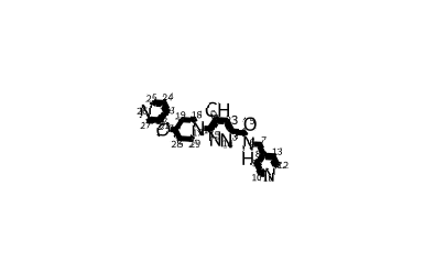 Cc1cc(C(=O)NCc2ccncc2)nnc1N1CCC(Oc2cccnc2)CC1